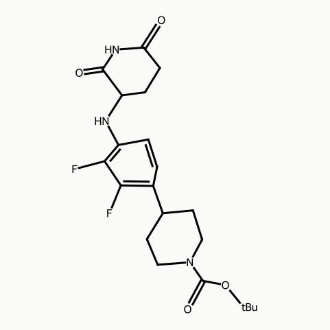 CC(C)(C)OC(=O)N1CCC(c2ccc(NC3CCC(=O)NC3=O)c(F)c2F)CC1